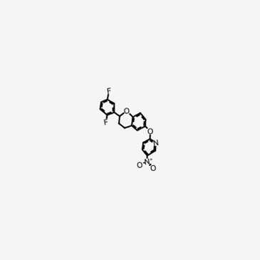 O=[N+]([O-])c1ccc(Oc2ccc3c(c2)CCC(c2cc(F)ccc2F)O3)nc1